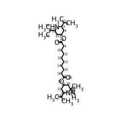 CC(C)C1CC(OC(=O)CCCCCCCCC(=O)OC2CC(C(C)C)NC(C)(C)C2)CC(C(C)C)N1